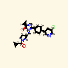 O=C(C1CC1)N1CC[C@@H](CN2C(=O)C3(CC3)N=C2c2ccc(-c3cncc(Cl)c3)cc2)C1